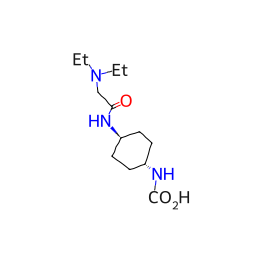 CCN(CC)CC(=O)N[C@H]1CC[C@H](NC(=O)O)CC1